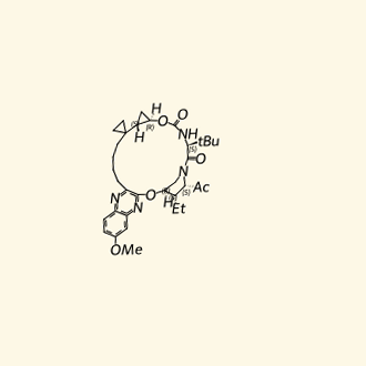 CC[C@@H]1[C@@H]2CN(C(=O)[C@H](C(C)(C)C)NC(=O)O[C@@H]3C[C@H]3C3(CCCCc4nc5ccc(OC)cc5nc4O2)CC3)[C@@H]1C(C)=O